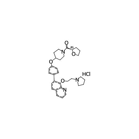 Cl.O=C([C@H]1CCCO1)N1CCC(Oc2ccc(-c3ccc4cccnc4c3OCCN3CCCC3)cc2)CC1